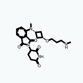 CNCCCO[C@H]1C[C@H](N(C)c2cccc3c2C(=O)N(C2CCC(=O)NC2=O)C3=O)C1